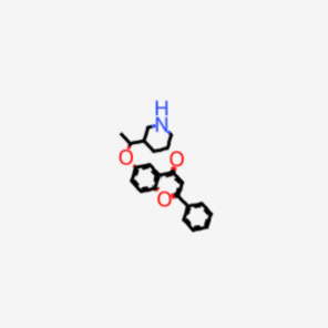 CC(Oc1ccc2oc(-c3ccccc3)cc(=O)c2c1)C1CCCNC1